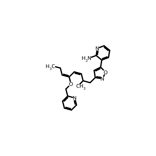 CC/C=C(\C=C/C(C)Cc1cc(-c2cccnc2N)on1)OCc1ccccn1